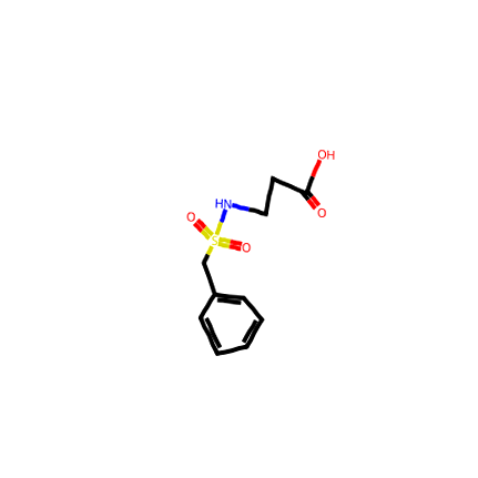 O=C(O)CCNS(=O)(=O)Cc1ccccc1